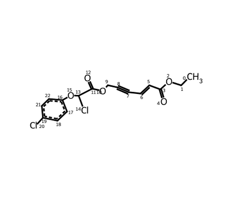 CCOC(=O)C=CC#CCOC(=O)C(Cl)Oc1ccc(Cl)cc1